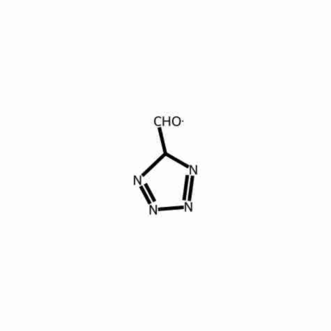 O=[C]C1N=NN=N1